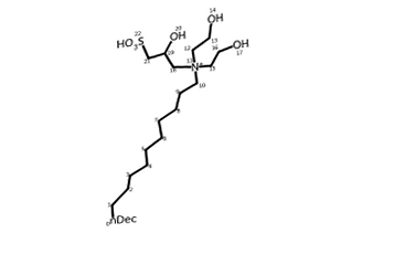 CCCCCCCCCCCCCCCCCCCC[N+](CCO)(CCO)CC(O)CS(=O)(=O)O